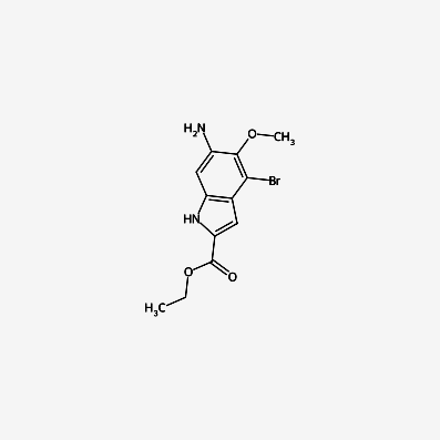 CCOC(=O)c1cc2c(Br)c(OC)c(N)cc2[nH]1